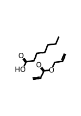 C=CCOC(=O)C=C.CCCCCCC(=O)O